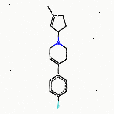 CC1=CC(N2CC=C(c3ccc(F)cc3)CC2)CC1